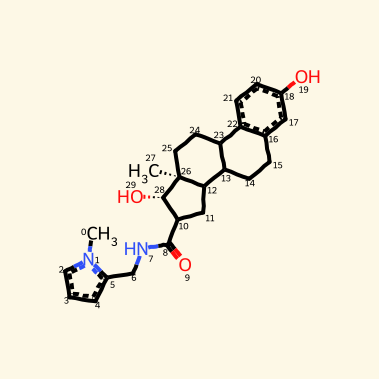 Cn1cccc1CNC(=O)C1CC2C3CCc4cc(O)ccc4C3CC[C@]2(C)[C@H]1O